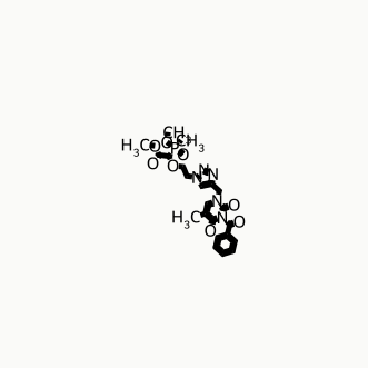 COC(=O)C(OCCn1cc(Cn2cc(C)c(=O)n(C(=O)c3ccccc3)c2=O)nn1)P(C)(=O)OC